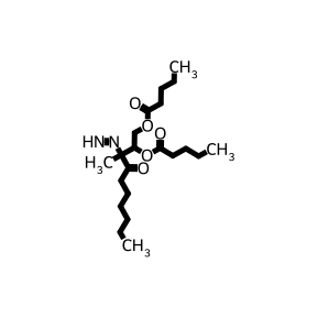 CCCCCCC(=O)C(C)(N=N)C(COC(=O)CCCC)OC(=O)CCCC